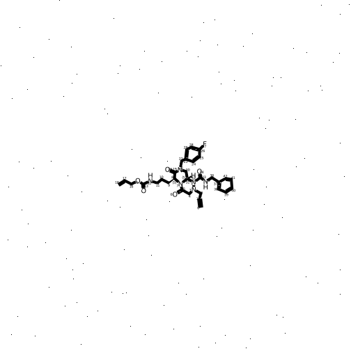 C#CCN1CC(=O)N2[C@@H](CCCNC(=O)OCC=C)C(=O)N(Cc3ccc(F)cc3)C[C@@H]2N1C(=O)NCc1ccccc1